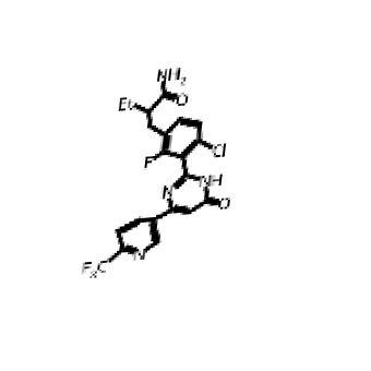 CCC(Cc1ccc(Cl)c(-c2nc(-c3ccc(C(F)(F)F)nc3)cc(=O)[nH]2)c1F)C(N)=O